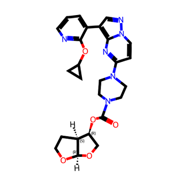 O=C(O[C@H]1CO[C@H]2OCC[C@H]21)N1CCN(c2ccn3ncc(-c4cccnc4OC4CC4)c3n2)CC1